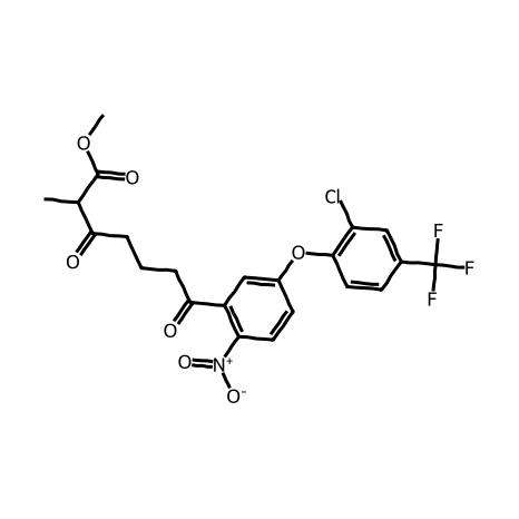 COC(=O)C(C)C(=O)CCCC(=O)c1cc(Oc2ccc(C(F)(F)F)cc2Cl)ccc1[N+](=O)[O-]